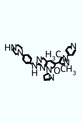 Cc1nn(-c2ccncc2)c(C)c1-c1cc2cnc(Nc3ccc(N4CCNCC4)cc3)nc2n(C2=NC=CC2)c1=O